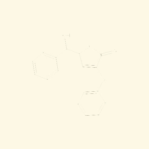 O=C1OC(C(O)c2ccccc2)C=C1Sc1ccccc1